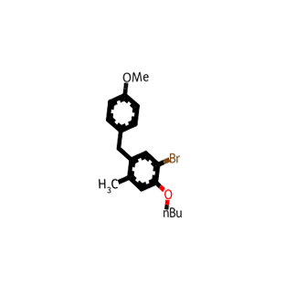 CCCCOc1cc(C)c(Cc2ccc(OC)cc2)cc1Br